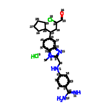 Cl.Cn1c(CNc2ccc(C(=N)N)cc2)nc2cc(C(CC(Cl)C=O)C3CCCC3)ccc21